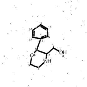 OCC1NCCOC1c1ccccc1